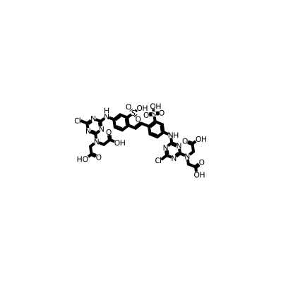 O=C(O)CN(CC(=O)O)c1nc(Cl)nc(Nc2ccc(/C=C/c3ccc(Nc4nc(Cl)nc(N(CC(=O)O)CC(=O)O)n4)cc3S(=O)(=O)O)c(S(=O)(=O)O)c2)n1